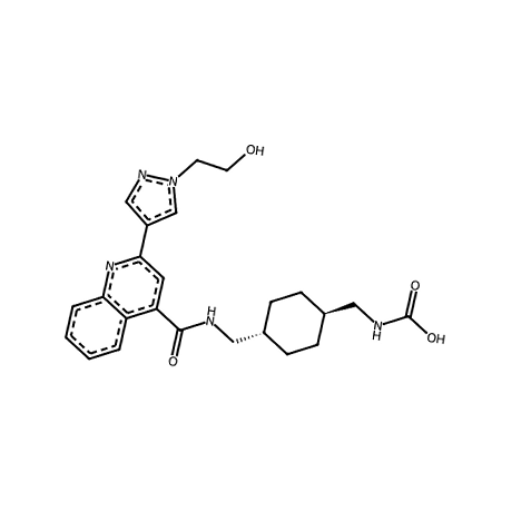 O=C(O)NC[C@H]1CC[C@H](CNC(=O)c2cc(-c3cnn(CCO)c3)nc3ccccc23)CC1